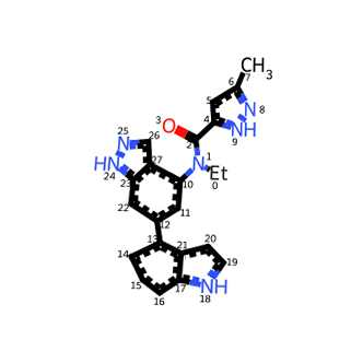 CCN(C(=O)c1cc(C)n[nH]1)c1cc(-c2cccc3[nH]ccc23)cc2[nH]ncc12